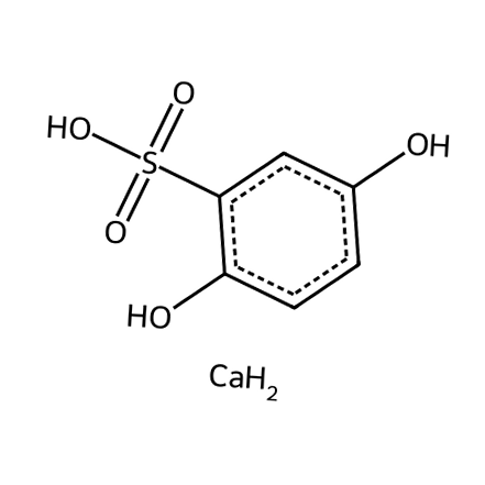 O=S(=O)(O)c1cc(O)ccc1O.[CaH2]